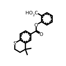 CC1(C)CCSc2ccc(C(=O)Oc3ccccc3C(=O)O)cc21